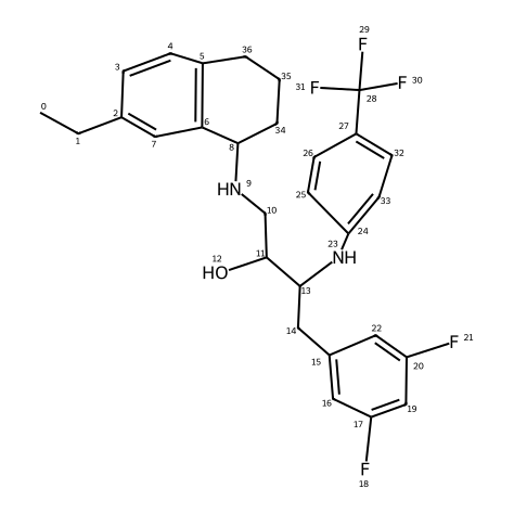 CCc1ccc2c(c1)C(NCC(O)C(Cc1cc(F)cc(F)c1)Nc1ccc(C(F)(F)F)cc1)CCC2